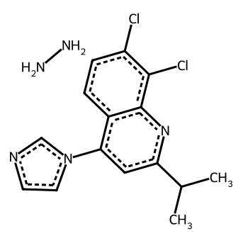 CC(C)c1cc(-n2ccnc2)c2ccc(Cl)c(Cl)c2n1.NN